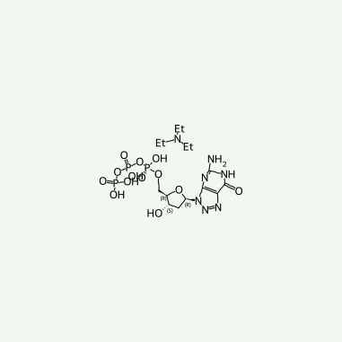 CCN(CC)CC.Nc1nc2c(nnn2[C@H]2C[C@H](O)[C@@H](COP(=O)(O)OP(=O)(O)OP(=O)(O)O)O2)c(=O)[nH]1